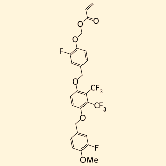 C=CC(=O)OCOc1ccc(COc2ccc(OCc3ccc(OC)c(F)c3)c(C(F)(F)F)c2C(F)(F)F)cc1F